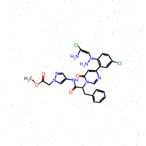 COC(=O)Cn1cc(NC(=O)C(Cc2ccccc2)n2cnc(-c3cc(Cl)ccc3N(N)/C=C(\N)Cl)cc2=O)cn1